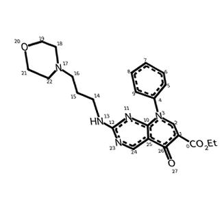 CCOC(=O)c1cn(-c2ccccc2)c2nc(NCCCN3CCOCC3)ncc2c1=O